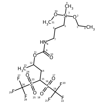 CCO[Si](C)(CCCNC(=O)OC(C)CC(S(=O)(=O)C(F)(F)F)S(=O)(=O)C(F)(F)F)OC